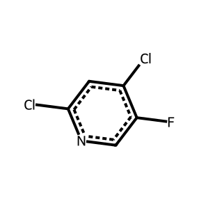 Fc1cnc(Cl)cc1Cl